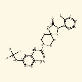 Cc1ncccc1N1C[C@]2(CC[C@@H](C(=O)Nc3cc(OC(F)(F)F)ccc3N)CC2)OC1=O